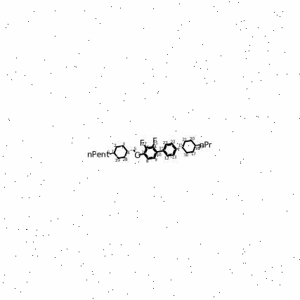 CCCCC[C@H]1CC[C@H](COc2ccc(-c3ccc([C@H]4CC[C@H](CCC)CC4)cc3)c(F)c2F)CC1